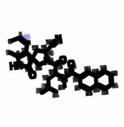 C/C=C\C1=C(C)NC(=O)[C@]12C[C@@H](C#N)N(C(=O)[C@H](CC(C)C)N(C)C(=O)c1ccc3ccccc3c1)C2